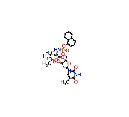 Cc1cn([C@H]2C[C@@H](O)[C@@H](COP(=O)(N[C@@H](C)C(=O)OC(C)C)Oc3cccc4ccccc34)O2)c(=O)[nH]c1=O